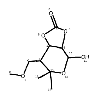 COCC1C2OC(=O)OC2C(O)OC1(C)C